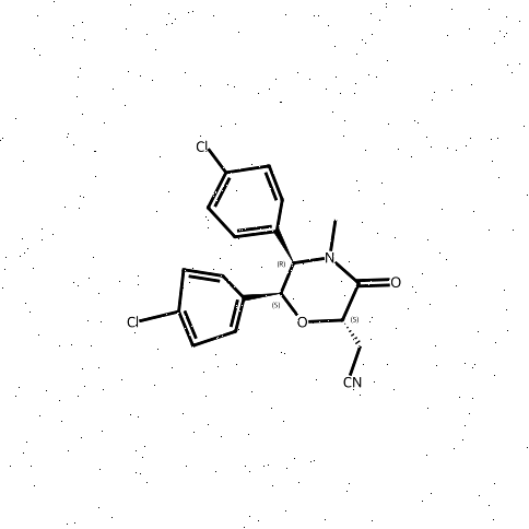 CN1C(=O)[C@H](CC#N)O[C@@H](c2ccc(Cl)cc2)[C@H]1c1ccc(Cl)cc1